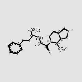 CCOC(=O)C(CCc1ccccc1)N[C@@H](C)C(=O)N1CCC2CSCC2[C@H]1C(=O)O